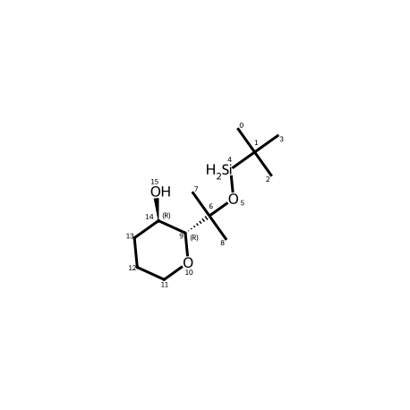 CC(C)(C)[SiH2]OC(C)(C)[C@@H]1OCCC[C@H]1O